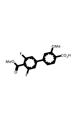 COC(=O)c1c(F)cc(-c2ccc(C(=O)O)c(OC)c2)cc1F